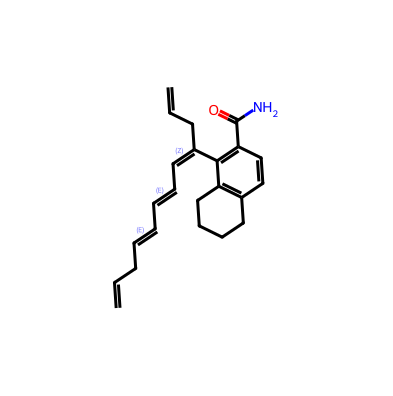 C=CC/C=C/C=C/C=C(/CC=C)c1c(C(N)=O)ccc2c1CCCC2